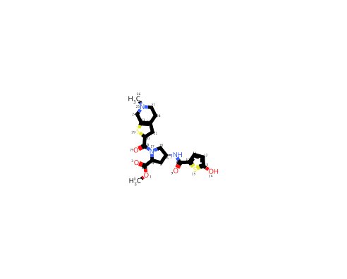 COC(=O)C1C[C@@H](NC(=O)c2ccc(O)s2)CN1C(=O)C1CC2=C(CN(C)CC2)S1